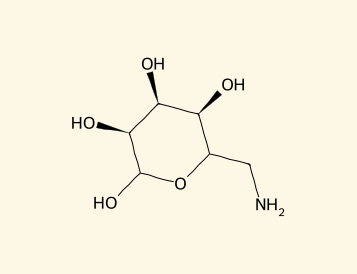 NCC1OC(O)[C@@H](O)[C@@H](O)[C@H]1O